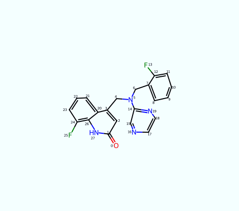 O=c1cc(CN(Cc2ccccc2F)c2cnccn2)c2cccc(F)c2[nH]1